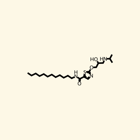 CCCCCCCCCCCCNC(=O)c1cnc(OCC(O)CNC(C)C)s1